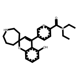 CCN(CC)C(=O)c1ccc(C2=CC3(CCCNCC3)Oc3cccc(O)c32)cn1